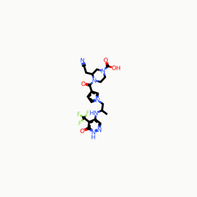 CC(Cn1ccc(C(=O)N2CCN(C(=O)O)CC2CC#N)c1)Nc1cn[nH]c(=O)c1C(F)(F)F